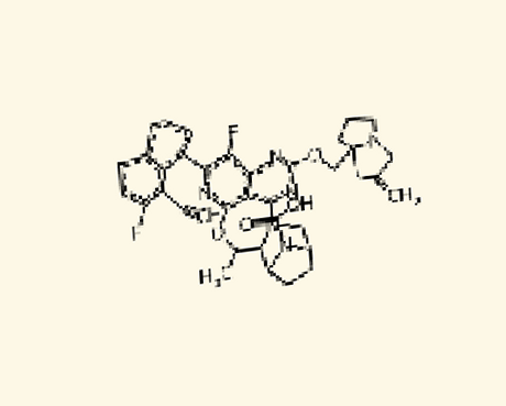 C#Cc1c(F)ccc2cccc(-c3nc4c5c(nc(OCC67CCCN6CC(=C)C7)nc5c3F)N3CC5CCC(C3C(C)O4)N5C(=O)O)c12